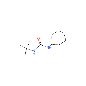 CC(C)(C)NC(=O)NC1CCCCC1